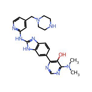 CN(C)c1ncnc(-c2ccc3nc(Nc4cc(CN5CCNCC5)ccn4)[nH]c3c2)c1O